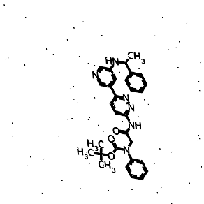 C[C@H](Nc1cncc(-c2ccc(NC(=O)CN(C(=O)OC(C)(C)C)c3ccccc3)nn2)c1)c1ccccc1